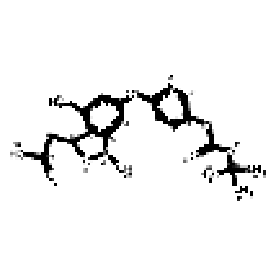 Cc1cc(Oc2ccc(NC(=O)OC(C)(C)C)cn2)cc2c1C(CC(=O)O)OB2O